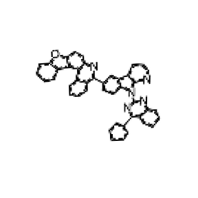 c1ccc(-c2nc(-n3c4ccc(-c5nc6ccc7oc8ccccc8c7c6c6ccccc56)cc4c4cccnc43)nc3ccccc23)cc1